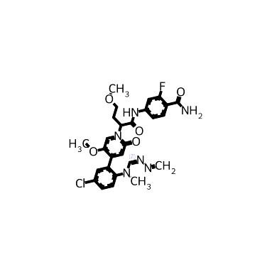 C=N/N=C\N(C)c1ccc(Cl)cc1-c1cc(=O)n(C(CCOC)C(=O)Nc2ccc(C(N)=O)c(F)c2)cc1OC